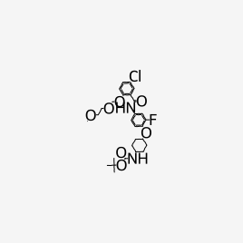 COCCOCOc1ccc(Cl)cc1C(=O)Nc1ccc(O[C@H]2CC[C@H](NC(=O)OC(C)(C)C)CC2)c(F)c1